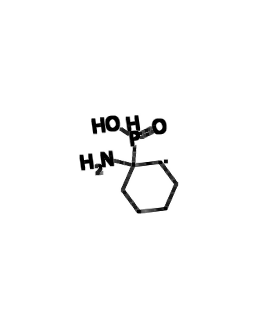 NC1([PH](=O)O)[CH]CCCC1